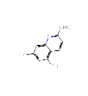 Cc1cc(C)c2ccc(C=O)nc2c1